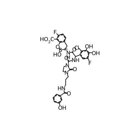 O=C(NCCCN1CCN(C(=O)NC(C(=O)N[C@H]2Cc3ccc(F)c(C(=O)O)c3OB2O)c2cc(F)c(O)c(O)c2Cl)C1=O)c1cccc(O)c1